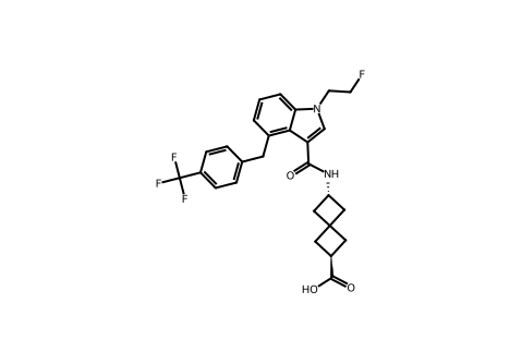 O=C(N[C@H]1CC2(C1)C[C@H](C(=O)O)C2)c1cn(CCF)c2cccc(Cc3ccc(C(F)(F)F)cc3)c12